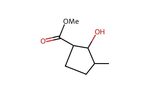 COC(=O)C1CCC(C)C1O